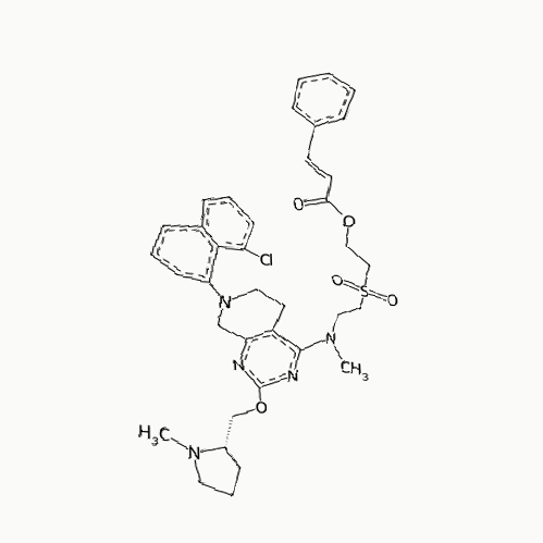 CN(CCS(=O)(=O)CCOC(=O)C=Cc1ccccc1)c1nc(OC[C@@H]2CCCN2C)nc2c1CCN(c1cccc3cccc(Cl)c13)C2